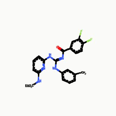 CCOC(=O)Nc1cccc(N/C(=N\C(=O)c2ccc(F)c(F)c2)Nc2cccc(C(F)(F)F)c2)n1